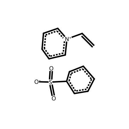 C=C[n+]1ccccc1.O=S(=O)([O-])c1ccccc1